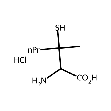 CCCC(C)(S)C(N)C(=O)O.Cl